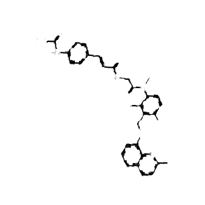 Cc1ccc2cccc(OCc3c(Cl)ccc(N(C)C(=O)CNC(=O)/C=C/c4ccc(NC(=O)C(F)(F)F)cc4)c3Cl)c2n1